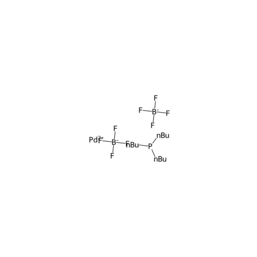 CCCCP(CCCC)CCCC.F[B-](F)(F)F.F[B-](F)(F)F.[Pd+2]